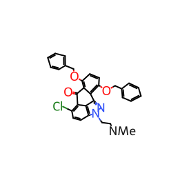 CNCCn1nc2c3c(c(Cl)ccc31)C(=O)c1c(OCc3ccccc3)ccc(OCc3ccccc3)c1-2